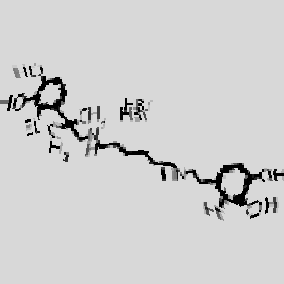 Br.Br.CCc1c(CCNCCCCCCNCC(C)(C)c2ccc(O)c(O)c2CC)ccc(O)c1O